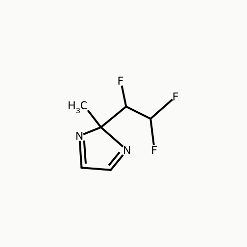 CC1(C(F)C(F)F)N=CC=N1